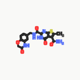 Cc1sc2nc(C(=O)NCc3ccc4c(c3)NC(=O)CO4)[nH]c(=O)c2c1C(N)=O